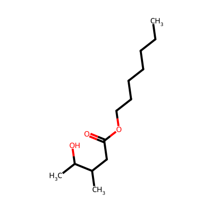 CCCCCCCOC(=O)CC(C)C(C)O